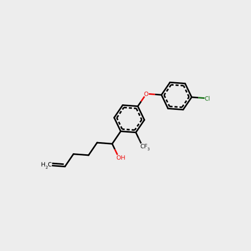 C=CCCCC(O)c1ccc(Oc2ccc(Cl)cc2)cc1C(F)(F)F